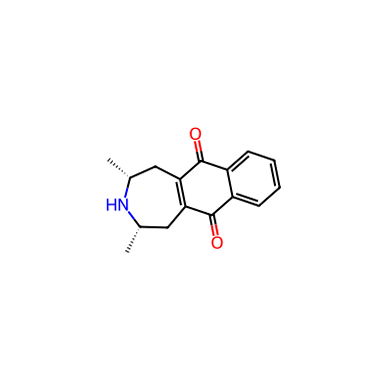 C[C@@H]1CC2=C(C[C@H](C)N1)C(=O)c1ccccc1C2=O